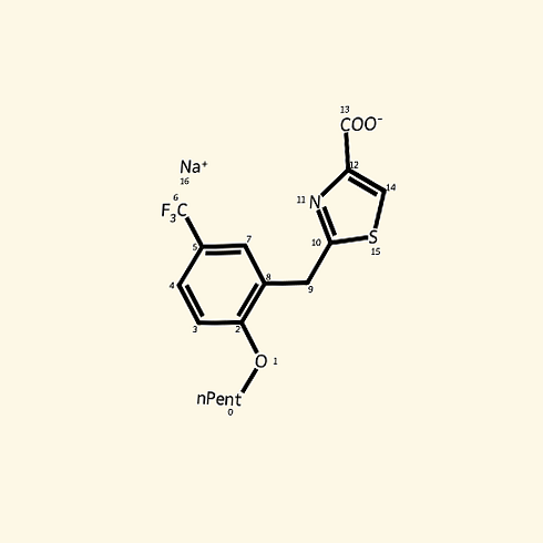 CCCCCOc1ccc(C(F)(F)F)cc1Cc1nc(C(=O)[O-])cs1.[Na+]